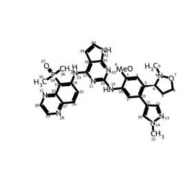 COc1cc([C@@H]2CCON2C)c(-c2cnn(C)c2)cc1Nc1nc(Nc2ccc3nccnc3c2P(C)(C)=O)c2cc[nH]c2n1